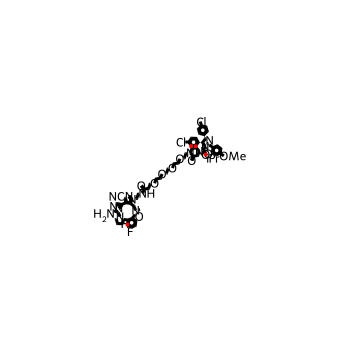 COc1ccc(C2=N[C@@H](c3ccc(Cl)cc3)[C@@H](c3ccc(Cl)cc3)N2C(=O)N2CCN(CCOCCOCCOCCOCCC(=O)NCCn3nc(C#N)c4c3CN(C)C(=O)c3ccc(F)cc3[C@H]3CCCN3c3nc-4cnc3N)C(=O)C2)c(OC(C)C)c1